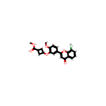 COC(=O)C1CC(Oc2cc(-c3cc(=O)c4cccc(Cl)c4o3)ccc2OC)C1